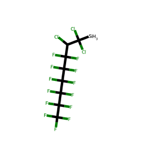 FC(F)(F)C(F)(F)C(F)(F)C(F)(F)C(F)(F)C(F)(F)C(Cl)C([SiH3])(Cl)Cl